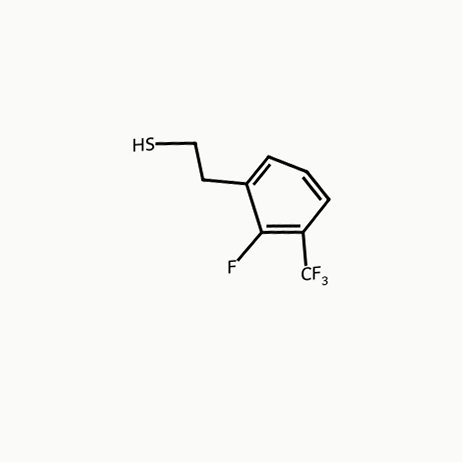 Fc1c(CCS)cccc1C(F)(F)F